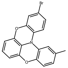 Cc1ccc2c(c1)N1c3ccc(Br)cc3Oc3cccc(c31)O2